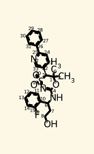 CC1(C)OC(NC(CCO)c2ccccc2F)=NS(=O)(=O)[C@H]1c1ccc(-c2ccccc2)nc1